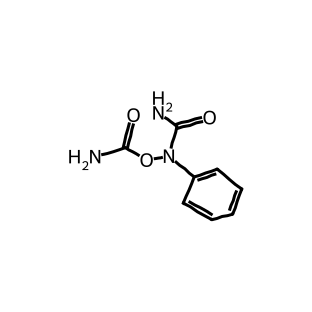 NC(=O)ON(C(N)=O)c1ccccc1